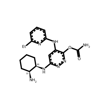 CCc1cccc(Nc2cc(N[C@@H]3CCCC[C@@H]3N)nnc2OC(N)=O)n1